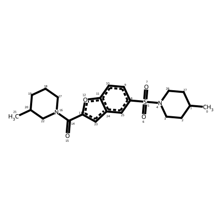 CC1CCN(S(=O)(=O)c2ccc3oc(C(=O)N4CCCC(C)C4)cc3c2)CC1